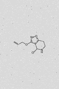 C=CCOc1noc2c1C(Cl)NCC2